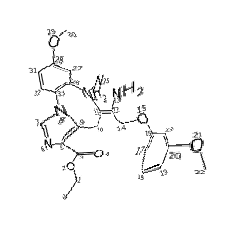 CCOC(=O)c1ncn2c1C/C(=C(/N)COc1cccc(OC)c1)N(N)c1cc(OC)ccc1-2